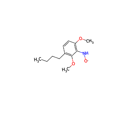 CCCCc1ccc(OC)c(N[O])c1OC